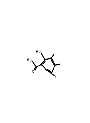 Cc1c(I)cc(C(N)=O)c(N)c1F